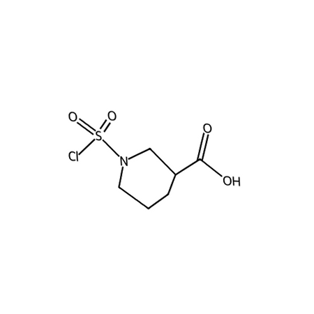 O=C(O)C1CCCN(S(=O)(=O)Cl)C1